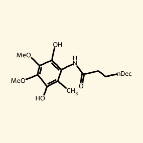 CCCCCCCCCCCCC(=O)Nc1c(C)c(O)c(OC)c(OC)c1O